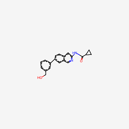 O=C(Nc1cc2ccc(-c3cccc(CO)c3)cc2cn1)C1CC1